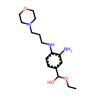 CCOC(O)c1ccc(NCCCN2CCOCC2)c(N)c1